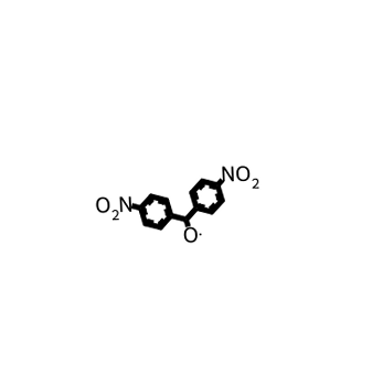 [O]C(c1ccc([N+](=O)[O-])cc1)c1ccc([N+](=O)[O-])cc1